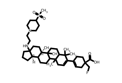 CC1(C)C(C2=CCC(CF)(C(=O)O)CC2)=CCC2(C)C1CCC1(C)C2CCC2[C@H]3CCCC3(NCCN3CCC(S(C)(=O)=O)CC3)CC[C@]21C